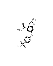 COC(=O)c1cc(Oc2ccc(S(C)(=O)=O)cc2)cc2c1CC(C)O2